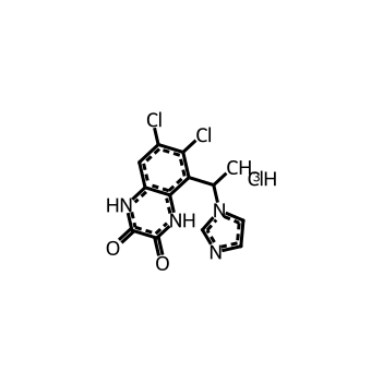 CC(c1c(Cl)c(Cl)cc2[nH]c(=O)c(=O)[nH]c12)n1ccnc1.Cl